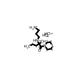 CCCC(C)(NCCCN)C(=O)N1CCSCC1.Cl.Cl